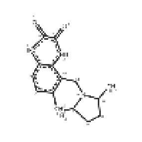 Cc1ccc2[nH]c(=O)c(=O)[nH]c2c1CN1C(C)CCC1C